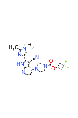 Cc1nc(-c2[nH]c3nccc(N4CCN(C(=O)OC5CC(F)(F)C5)CC4)c3c2C#N)cn1C